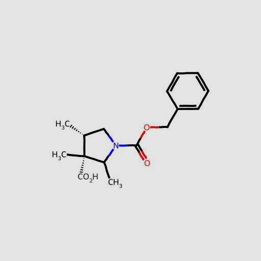 CC1N(C(=O)OCc2ccccc2)C[C@@H](C)[C@@]1(C)C(=O)O